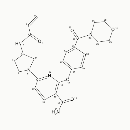 C=CC(=O)NC1CCN(c2ccc(C(N)=O)c(Oc3ccc(C(=O)N4CCOCC4)cc3)n2)C1